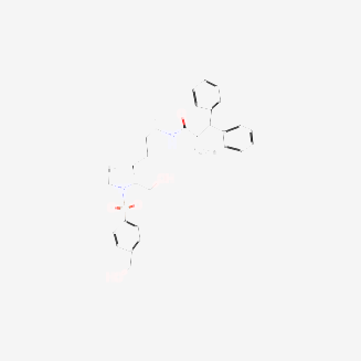 CC[C@@H](CCC[C@@H](CO)N(CC(C)C)S(=O)(=O)c1ccc(CO)cc1)NC(=O)[C@@H](NC)C(c1ccccc1)c1ccccc1